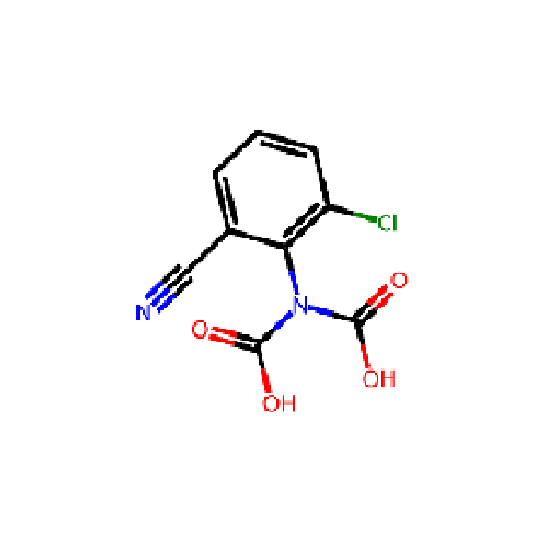 N#Cc1cccc(Cl)c1N(C(=O)O)C(=O)O